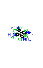 Nc1c(Cl)cc(C(c2cc(Cl)c(N)c(Cl)c2)C(c2cc(Cl)c(N)c(Cl)c2)c2cc(Cl)c(N)c(Cl)c2)cc1Cl